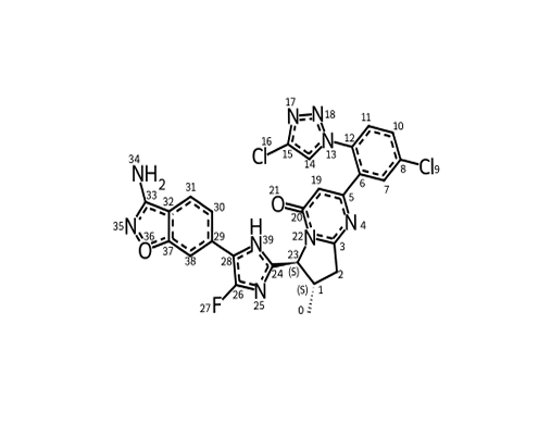 C[C@H]1Cc2nc(-c3cc(Cl)ccc3-n3cc(Cl)nn3)cc(=O)n2[C@@H]1c1nc(F)c(-c2ccc3c(N)noc3c2)[nH]1